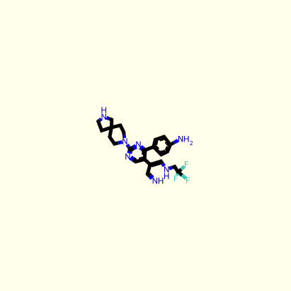 N=C/C(=C\NCC(F)(F)F)c1cnc(N2CCC3(CCNC3)CC2)nc1-c1ccc(N)cc1